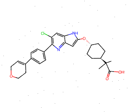 CC(C)(C(=O)O)[C@H]1CC[C@H](Oc2cc3nc(-c4ccc(C5=CCOCC5)cc4)c(Cl)cc3[nH]2)CC1